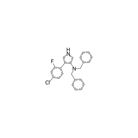 Fc1cc(Cl)ccc1-c1c[nH]cc1N(Cc1ccccc1)Cc1ccccc1